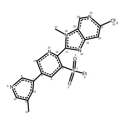 CCS(=O)(=O)c1cc(-c2cncc(C)c2)cnc1-c1nc2cc(C(F)(F)F)ncc2n1C